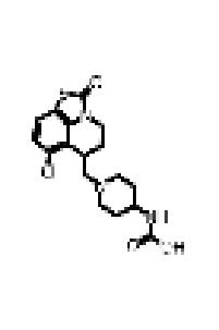 O=C(O)NC1CCN(CC2CCn3c(=O)sc4ccc(Cl)c2c43)CC1